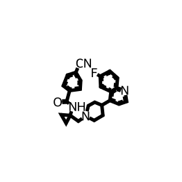 N#Cc1ccc(C(=O)NC2(CN3CCC(c4ccnc5ccc(F)cc45)CC3)CC2)cc1